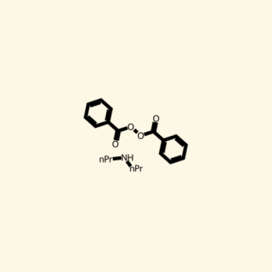 CCCNCCC.O=C(OOC(=O)c1ccccc1)c1ccccc1